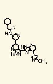 Cc1cn(-c2ccnc3[nH]c(-c4n[nH]c5ncc(-c6cncc(NC(=O)CC7CCCCC7)c6)cc45)nc23)cn1